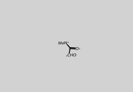 [CH2]NC(=O)[C]=O